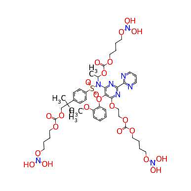 COc1ccccc1Oc1c(OCCOC(=O)OCCCCON(O)O)nc(-c2ncccn2)nc1N(C(C)OC(=O)OCCCCON(O)O)S(=O)(=O)c1ccc(C(C)(C)COC(=O)OCCCCON(O)O)cc1